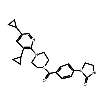 O=C(c1ccc(N2CCNC2=O)cc1)N1CCN(c2ncc(C3CC3)cc2C2CC2)CC1